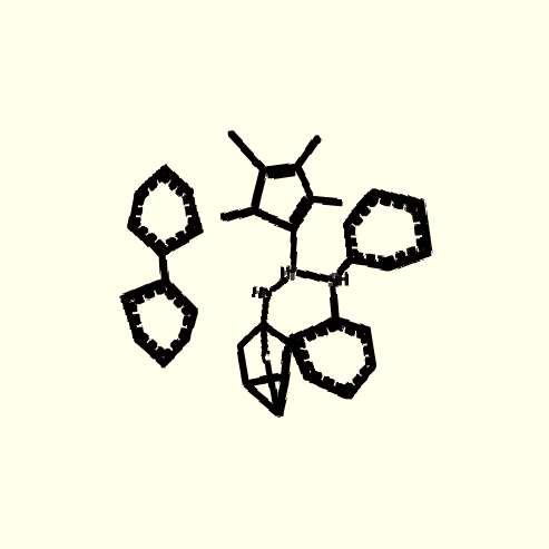 CC1=C(C)C(C)[C]([Hf]([NH]C23CC4C(C2)C4C3)[SiH](c2ccccc2)c2ccccc2)=C1C.c1ccc(-c2ccccc2)cc1